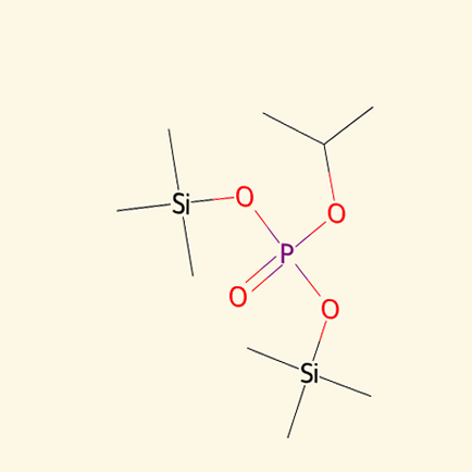 CC(C)OP(=O)(O[Si](C)(C)C)O[Si](C)(C)C